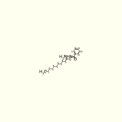 CCCCCCCCCCC(N)CNC(=O)c1ccccc1